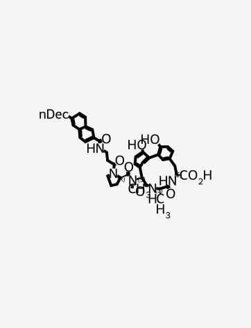 CCCCCCCCCCc1ccc2cc(C(=O)NCCC(=O)N3CCC[C@@H]3C(=O)N(C)[C@@H]3C(=O)N[C@@H](C)C(=O)N[C@H](C(=O)O)Cc4ccc(O)c(c4)-c4cc3ccc4O)ccc2c1